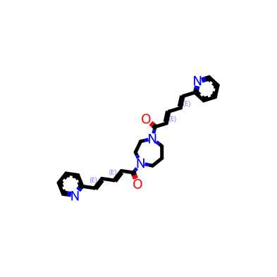 O=C(/C=C/C=C/c1ccccn1)N1CCCN(C(=O)/C=C/C=C/c2ccccn2)CC1